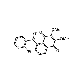 CCc1ccccc1[S+]([O-])c1cccc2c1C(=O)C(OC)=C(OC)C2=O